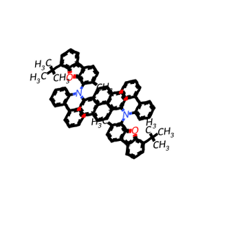 Cc1ccc2c(oc3c(C(C)(C)C)cccc32)c1N(c1ccccc1-c1ccccc1)c1ccc2ccc3c(N(c4ccccc4-c4ccccc4)c4c(C)ccc5c4oc4c(C(C)(C)C)cccc45)ccc4ccc1c2c43